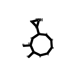 CC1CCCCCC(C2CN2)CC1C